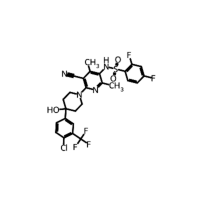 Cc1nc(N2CCC(O)(c3ccc(Cl)c(C(F)(F)F)c3)CC2)c(C#N)c(C)c1NS(=O)(=O)c1ccc(F)cc1F